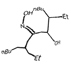 CCCCC(CC)C(=NO)C(O)C(CC)CCCC